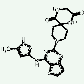 Cc1cc(Nc2nc(N3CCC4(CC3)NC(=O)CNC4=O)nc3ccsc23)n[nH]1